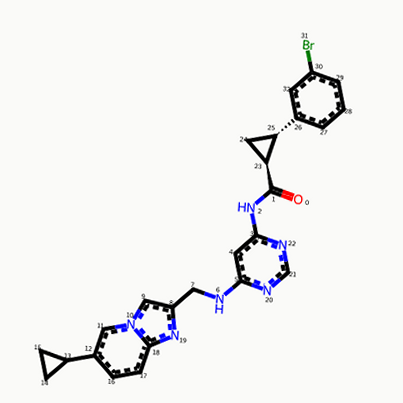 O=C(Nc1cc(NCc2cn3cc(C4CC4)ccc3n2)ncn1)[C@H]1C[C@@H]1c1cccc(Br)c1